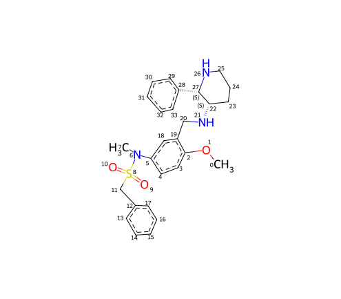 COc1ccc(N(C)S(=O)(=O)Cc2ccccc2)cc1CN[C@H]1CCCN[C@H]1c1ccccc1